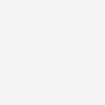 c1ccc(N(c2ccccc2)c2cc3c4ccccc4n(-c4ccccc4)c3c3ccccc23)cc1